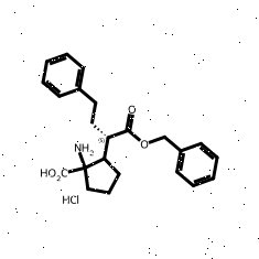 Cl.NC1(C(=O)O)CCCC1[C@H](CCc1ccccc1)C(=O)OCc1ccccc1